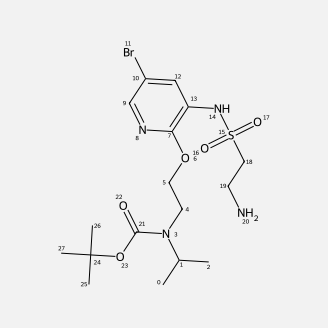 CC(C)N(CCOc1ncc(Br)cc1NS(=O)(=O)CCN)C(=O)OC(C)(C)C